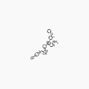 Cc1cc(-c2nn(C3CCCN(C(=O)C(C#N)=CC(C)(C)N4CCN(C5COC5)CC4)C3)c3ccnc(N)c23)ccc1Oc1ccccc1